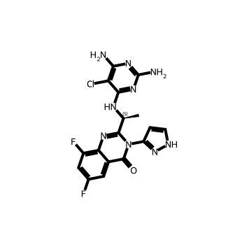 C[C@H](Nc1nc(N)nc(N)c1Cl)c1nc2c(F)cc(F)cc2c(=O)n1-c1cc[nH]n1